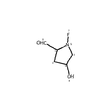 O=CC1CC(O)CN1F